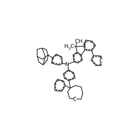 CC1(C)c2cc(N(c3ccc(C45CC6CC(CC(C6)C4)C5)cc3)c3ccc(C4(c5ccccc5)CCCCCCC4)cc3)ccc2-c2c(-c3ccccc3)cccc21